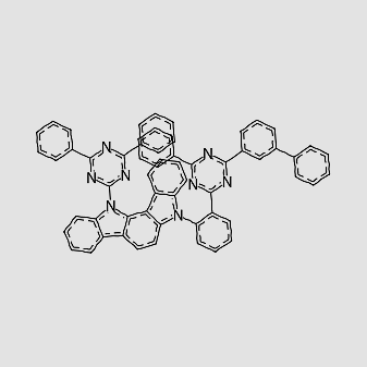 c1ccc(-c2cccc(-c3nc(-c4ccccc4)nc(-c4ccccc4-n4c5ccccc5c5c4ccc4c6ccccc6n(-c6nc(-c7ccccc7)nc(-c7ccccc7)n6)c45)n3)c2)cc1